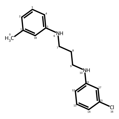 Cc1cccc(NCCCNc2cccc(Cl)c2)c1